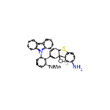 CNc1cccc(-n2c3ccccc3c3ccccc32)c1C1=CC2(C)c3cc(N)ccc3SC2C=C1